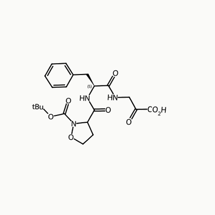 CC(C)(C)OC(=O)N1OCCC1C(=O)N[C@@H](Cc1ccccc1)C(=O)NCC(=O)C(=O)O